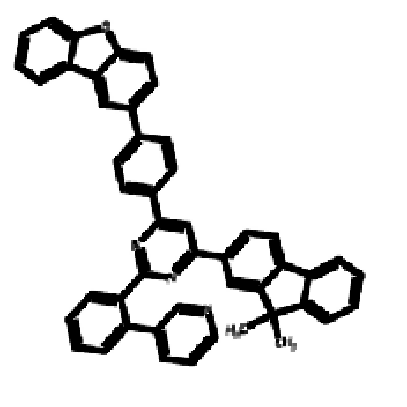 CC1(C)c2ccccc2-c2ccc(-c3cc(-c4ccc(-c5ccc6oc7ccccc7c6c5)cc4)nc(-c4ccccc4-c4cccnc4)n3)cc21